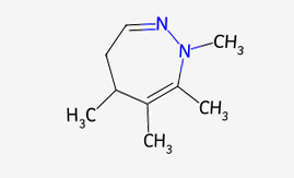 CC1=C(C)N(C)N=CCC1C